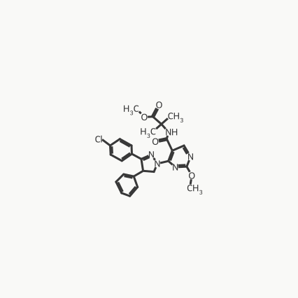 COC(=O)C(C)(C)NC(=O)c1cnc(OC)nc1N1CC(c2ccccc2)C(c2ccc(Cl)cc2)=N1